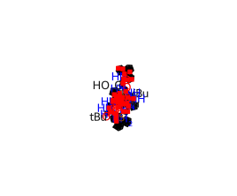 CC[C@H](C)[C@H](NC(=O)[C@@H]1CCCN1C(=O)[C@@H]1CCCN1C(=O)[C@@H](NC(=O)[C@H](COC(C)(C)C)NC(=O)[C@H](C)NC(=O)[C@@H](NC(=O)[C@@H](N)CSC(c1ccccc1)(c1ccccc1)c1ccccc1)[C@@H](C)OC(C)(C)C)[C@@H](C)CC)C(=O)N[C@@H](CSC(c1ccccc1)(c1ccccc1)c1ccccc1)C(=O)N[C@@H](CCC(=O)NC(c1ccccc1)(c1ccccc1)c1ccccc1)C(=O)O